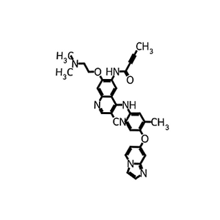 CC#CC(=O)Nc1cc2c(Nc3ccc(Oc4ccn5ccnc5c4)c(C)c3)c(C#N)cnc2cc1OCCN(C)C